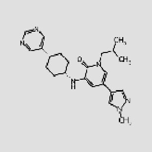 CC(C)Cn1cc(-c2cnn(C)c2)cc(N[C@H]2CC[C@@H](c3cncnc3)CC2)c1=O